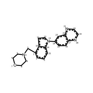 c1cc(CN2CCOCC2)c2ccn(-c3ccc4nccnc4c3)c2c1